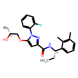 Cc1cccc([C@H](CC(=O)O)NC(=O)c2cc(OC[C@H](O)C(C)(C)C)n(-c3ccccc3F)n2)c1C